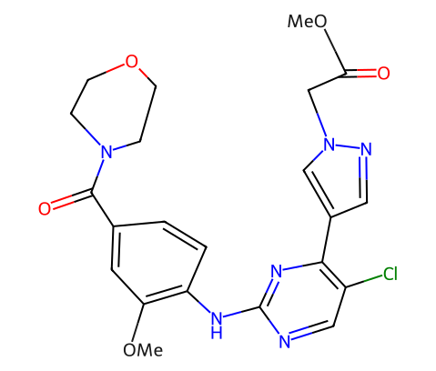 COC(=O)Cn1cc(-c2nc(Nc3ccc(C(=O)N4CCOCC4)cc3OC)ncc2Cl)cn1